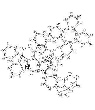 c1ccc(C2(c3ccccc3)CCC(c3ccccc3)(c3ccccc3)c3c2ncc2c3c3cc(-c4ccc5c(c4)-c4ccccc4-c4ccccc4-c4ccccc4-5)cc4c5c6c(ncc5n2c43)C2CC3CC(C2)CC6C3)cc1